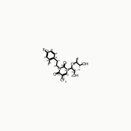 CC(CO)OC([C@H](C)O)n1cc(C(F)(F)F)c(=O)n(CCc2ccc(F)cc2F)c1=O